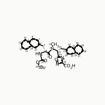 CN(C(=O)[C@@H](Cc1ccc2ccccc2c1)NC(=O)OC(C)(C)C)[C@H](Cc1ccc2ccccc2c1)c1nc(C(=O)O)no1